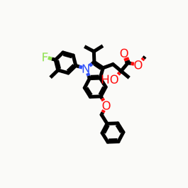 COC(=O)C(C)(O)Cc1c(C(C)C)n(-c2ccc(F)c(C)c2)c2ccc(OCc3ccccc3)cc12